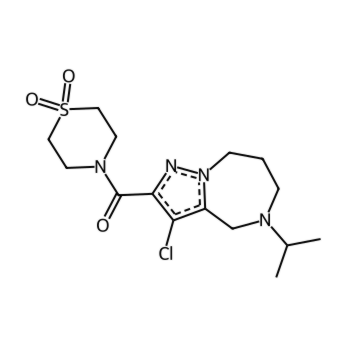 CC(C)N1CCCn2nc(C(=O)N3CCS(=O)(=O)CC3)c(Cl)c2C1